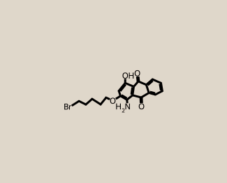 Nc1c(OCCCCCBr)cc(O)c2c1C(=O)c1ccccc1C2=O